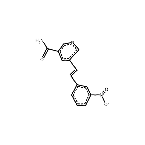 NC(=O)c1cncc(C=Cc2cccc([N+](=O)[O-])c2)c1